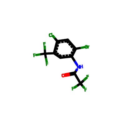 O=C(Nc1cc(C(F)(F)F)c(Cl)cc1Br)C(F)(F)F